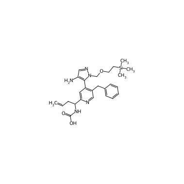 C=CCC(NC(=O)O)c1cc(-c2c(N)cnn2COCC[Si](C)(C)C)c(Cc2ccccc2)cn1